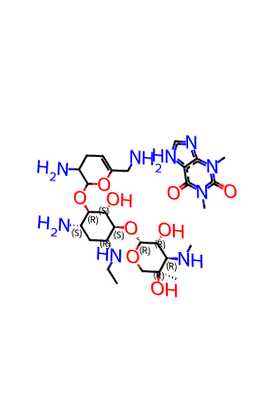 CCN[C@@H]1C[C@H](N)[C@@H](OC2OC(CN)=CCC2N)[C@H](O)[C@H]1O[C@H]1OC[C@](C)(O)[C@H](NC)[C@H]1O.Cn1c(=O)c2[nH]cnc2n(C)c1=O